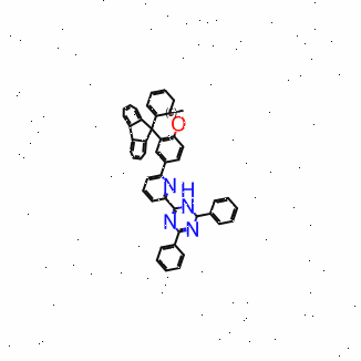 C[C@]12CC=CC=C1C1(c3cc(-c4cccc(C5=NC(c6ccccc6)=NC(c6ccccc6)N5)n4)ccc3O2)c2ccccc2-c2ccccc21